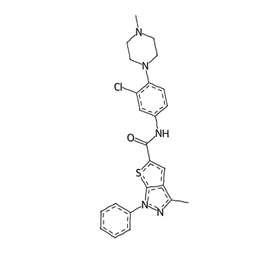 Cc1nn(-c2ccccc2)c2sc(C(=O)Nc3ccc(N4CCN(C)CC4)c(Cl)c3)cc12